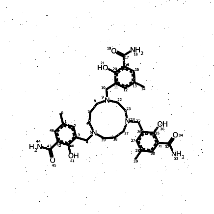 Cc1cc(CN2CCCN(Cc3cc(C)cc(C(N)=O)c3O)CCN(Cc3cc(C)cc(C(N)=O)c3O)CCC2)c(O)c(C(N)=O)c1